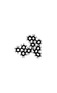 c1ccc(-c2ccccc2-c2ccccc2-c2ccc(N(c3ccc(-c4c(-c5ccccc5)ccc5ccccc45)cc3)c3cc4ccccc4c4ccccc34)cc2)cc1